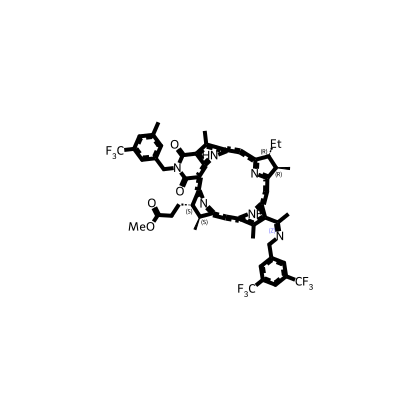 CC[C@H]1c2cc3[nH]c4c(c5nc(cc6[nH]c(cc(n2)[C@@H]1C)c(/C(C)=N\Cc1cc(C(F)(F)F)cc(C(F)(F)F)c1)c6C)[C@@H](C)[C@@H]5CCC(=O)OC)C(=O)N(Cc1cc(C)cc(C(F)(F)F)c1)C(=O)c4c3C